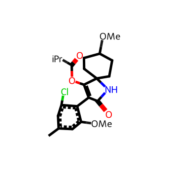 COc1cc(C)cc(Cl)c1C1=C(OC(=O)C(C)C)C2(CCC(OC)CC2)NC1=O